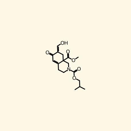 COC(=O)C12CC(=CO)C(=O)C=C1CCN(C(=O)OCC(C)C)C2